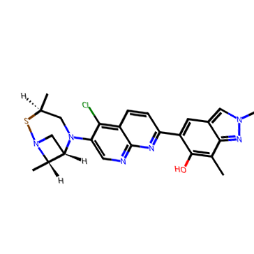 Cc1c(O)c(-c2ccc3c(Cl)c(N4C[C@H](C)SN5C[C@H]4[C@@H]5C)cnc3n2)cc2cn(C)nc12